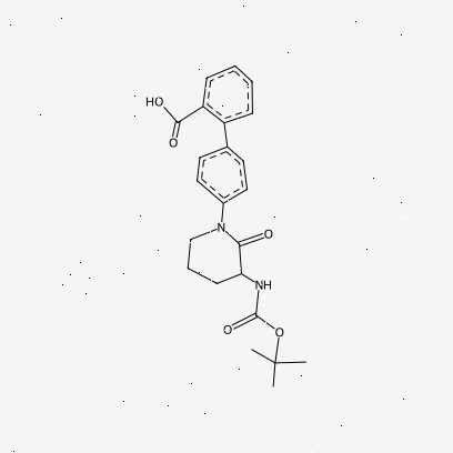 CC(C)(C)OC(=O)NC1CCCN(c2ccc(-c3ccccc3C(=O)O)cc2)C1=O